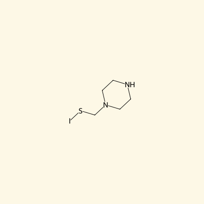 ISCN1CCNCC1